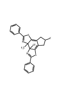 FC1CC2=C3SC(c4ccccc4)=NC3(C(F)(F)F)C3(C(F)(F)F)N=C(c4ccccc4)SC3=C2C1